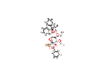 CCO[C@@H]1[C@@H](OC(=O)c2ccccc2)[C@H](S)O[C@H](CO[Si](c2ccccc2)(c2ccccc2)C(C)(C)C)[C@@H]1OCC